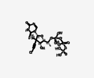 C[C@@H](OP(=O)(O)OP(=O)(O)OP(=O)(O)O)[C@H]1O[C@@H](n2cnc(=O)[nH]c2=O)C(N)(C#CCl)[C@H]1O